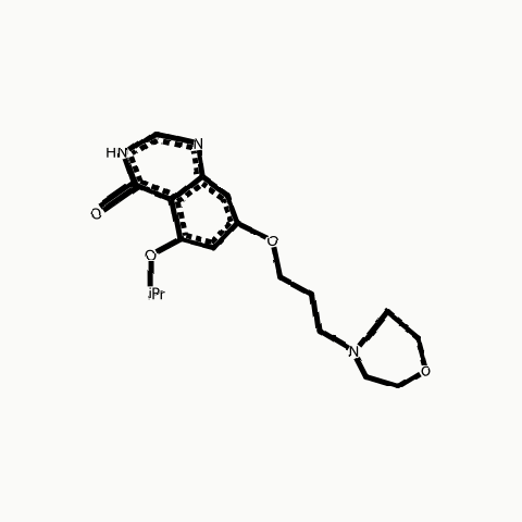 CC(C)Oc1cc(OCCCN2CCOCC2)cc2nc[nH]c(=O)c12